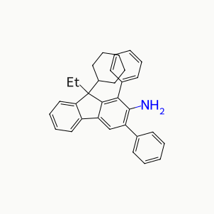 CCC1(C2CCCCC2)c2ccccc2-c2cc(-c3ccccc3)c(N)c(-c3ccccc3)c21